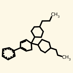 CCCC1CCC(C2(C3CCC(CCC)CC3)C=CC(c3ccccc3)=CC2)CC1